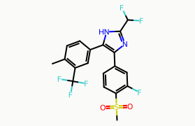 Cc1ccc(-c2[nH]c(C(F)F)nc2-c2ccc(S(C)(=O)=O)c(F)c2)cc1C(F)(F)F